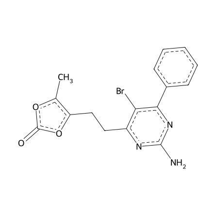 Cc1oc(=O)oc1CCc1nc(N)nc(-c2ccccc2)c1Br